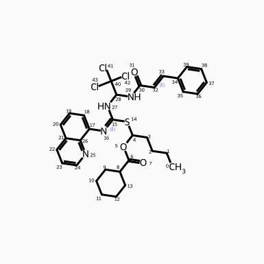 CCCCC(OC(=O)C1CCCCC1)S/C(=N/c1cccc2cccnc12)NC(NC(=O)/C=C/c1ccccc1)C(Cl)(Cl)Cl